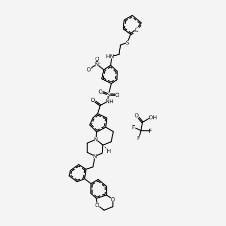 O=C(NS(=O)(=O)c1ccc(NCCSc2ccccc2)c([N+](=O)[O-])c1)c1ccc2c(c1)CC[C@H]1CN(Cc3ccccc3-c3ccc4c(c3)OCCO4)CCN21.O=C(O)C(F)(F)F